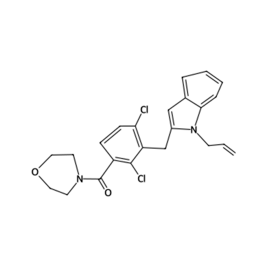 C=CCn1c(Cc2c(Cl)ccc(C(=O)N3CCOCC3)c2Cl)cc2ccccc21